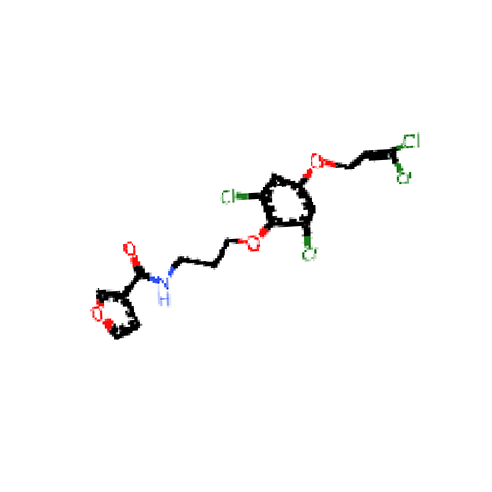 O=C(NCCCOc1c(Cl)cc(OCC=C(Cl)Cl)cc1Cl)c1ccoc1